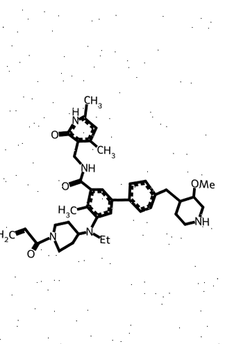 C=CC(=O)N1CCC(N(CC)c2cc(-c3ccc(CC4CCNCC4OC)cc3)cc(C(=O)NCc3c(C)cc(C)[nH]c3=O)c2C)CC1